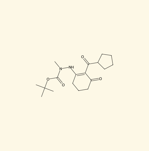 CN(NC1=C(C(=O)C2CCCC2)C(=O)CCC1)C(=O)OC(C)(C)C